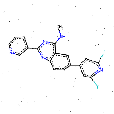 CNc1nc(-c2cccnc2)nc2ccc(-c3cc(F)nc(F)c3)cc12